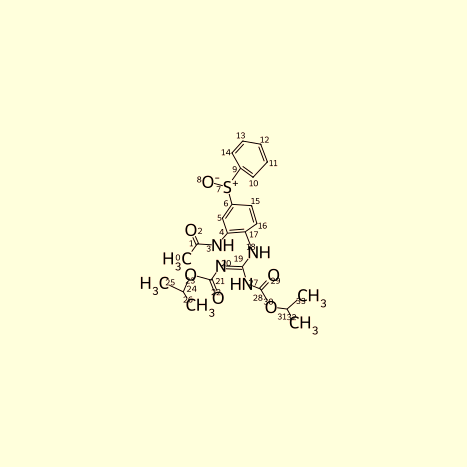 CC(=O)Nc1cc([S+]([O-])c2ccccc2)ccc1NC(=NC(=O)OC(C)C)NC(=O)OC(C)C